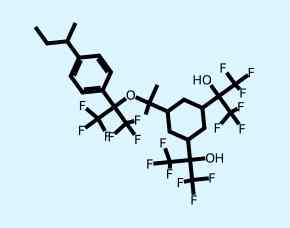 CCC(C)c1ccc(C(OC(C)(C)C2CC(C(O)(C(F)(F)F)C(F)(F)F)CC(C(O)(C(F)(F)F)C(F)(F)F)C2)(C(F)(F)F)C(F)(F)F)cc1